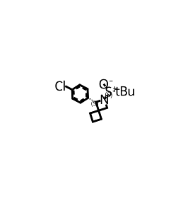 CC(C)(C)[S@@+]([O-])N1CC2(CCC2)[C@@H]1c1ccc(Cl)cc1